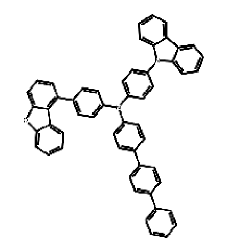 c1ccc(-c2ccc(-c3ccc(N(c4ccc(-c5cccc6oc7ccccc7c56)cc4)c4ccc(-n5c6ccccc6c6ccccc65)cc4)cc3)cc2)cc1